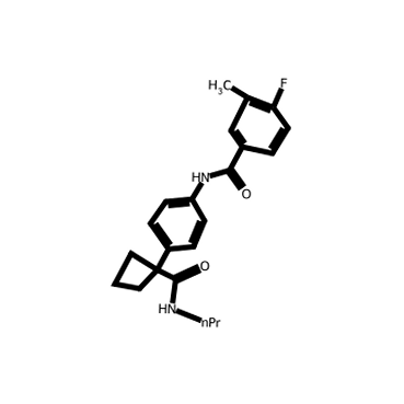 CCCNC(=O)C1(c2ccc(NC(=O)c3ccc(F)c(C)c3)cc2)CCC1